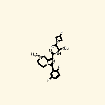 CN1CCCn2c(-c3cc(F)ccc3F)nc(C(=O)NC(C(=O)N3CC(F)C3)C(C)(C)C)c2C1